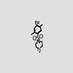 Cc1cc(S(=O)(=O)N2CCN(C)CC2)c(C)cc1Br